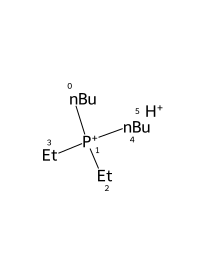 CCCC[P+](CC)(CC)CCCC.[H+]